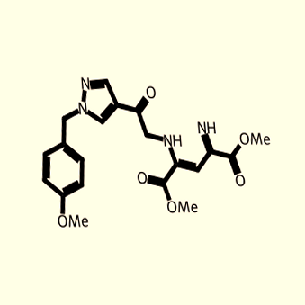 COC(=O)C(=N)/C=C(\NCC(=O)c1cnn(Cc2ccc(OC)cc2)c1)C(=O)OC